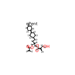 C=C(C)C(=O)OCC(C)(CCC1CCC(C2CCC(CCCCC)CC2)CC1)COC(=O)C(=C)CO